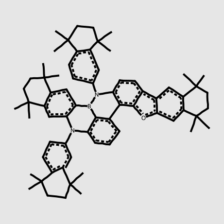 CC1(C)CCC(C)(C)c2cc(N3B4c5cc6c(cc5N(c5ccc7c(c5)C(C)(C)CCC7(C)C)c5cccc(c54)-c4c3ccc3c4oc4cc5c(cc43)C(C)(C)CCC5(C)C)C(C)(C)CCC6(C)C)ccc21